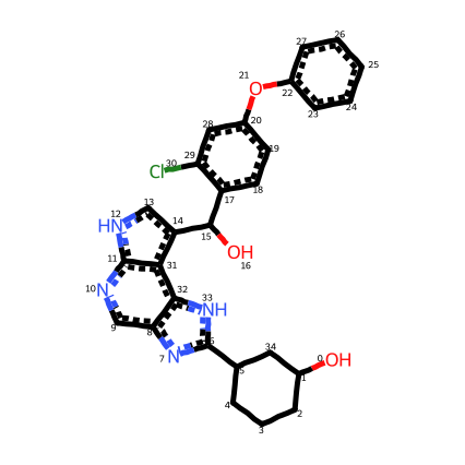 OC1CCCC(c2nc3cnc4[nH]cc(C(O)c5ccc(Oc6ccccc6)cc5Cl)c4c3[nH]2)C1